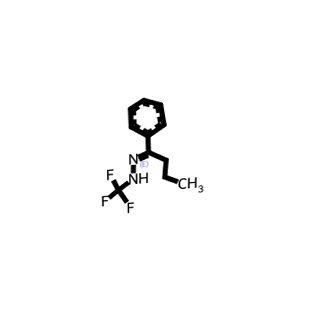 CCC/C(=N\NC(F)(F)F)c1ccccc1